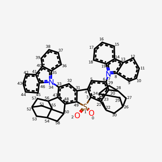 O=S1(=O)c2c(cc(-n3c4ccccc4c4ccccc43)c3c2C2CC4CC(CC3C4)C2)-c2cc(-n3c4ccccc4c4ccccc43)c3c(c21)C1CC2CC(CC3C2)C1